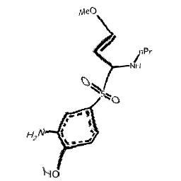 CCCNC(C=COC)S(=O)(=O)c1ccc(O)c(N)c1